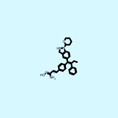 CC/C(=C(/c1ccc(/C=C/C(N)=N/O)cc1)c1ccc2c(c1)CNN2C1CCCCO1)c1ccccc1